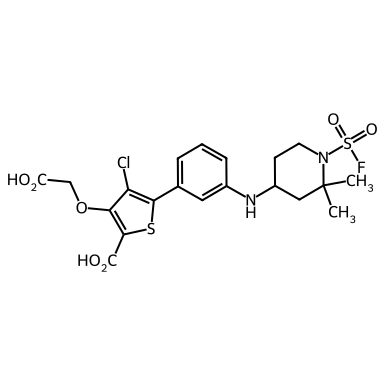 CC1(C)CC(Nc2cccc(-c3sc(C(=O)O)c(OCC(=O)O)c3Cl)c2)CCN1S(=O)(=O)F